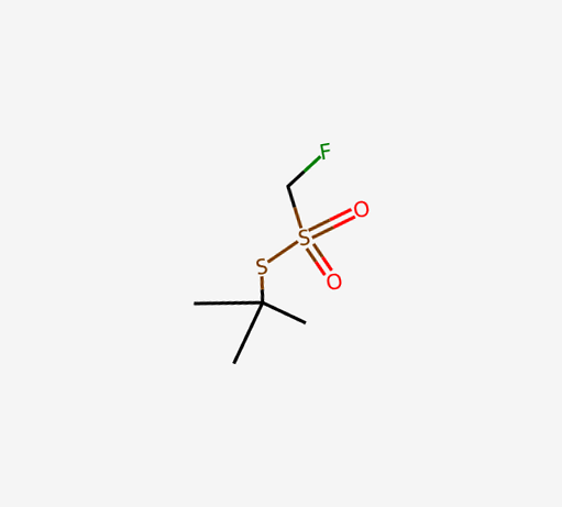 CC(C)(C)SS(=O)(=O)CF